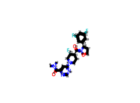 CN(C)C(=O)c1cc(N2CC[C@H](C(=O)N3OCC[C@@H]3c3cc(F)cc(F)c3)[C@H](F)C2)ncn1